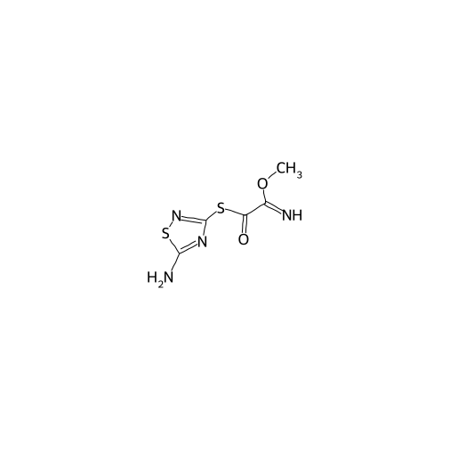 COC(=N)C(=O)Sc1nsc(N)n1